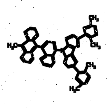 Cc1ccc(C)c(-c2ccc3c(c2)c2cc(-c4cc(C)ccc4C)ccc2n3-c2ccc(-c3c4ccccc4c(C)c4ccccc34)c3ccccc23)c1